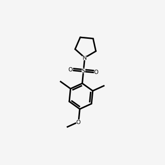 COc1cc(C)c(S(=O)(=O)N2CCCC2)c(C)c1